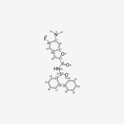 CN(C)c1cc2oc(C(=O)N[S+]([O-])c3ccccc3-c3ccccc3)cc2cc1F